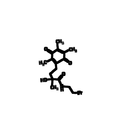 CC1=C(C)C(=O)C(CCC(C)(O)C(=O)NCCC(C)C)=C(C)C1=O